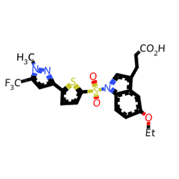 CCOc1ccc2c(c1)c(CCC(=O)O)cn2S(=O)(=O)c1ccc(-c2cc(C(F)(F)F)n(C)n2)s1